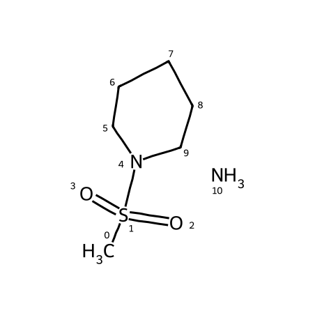 CS(=O)(=O)N1CCCCC1.N